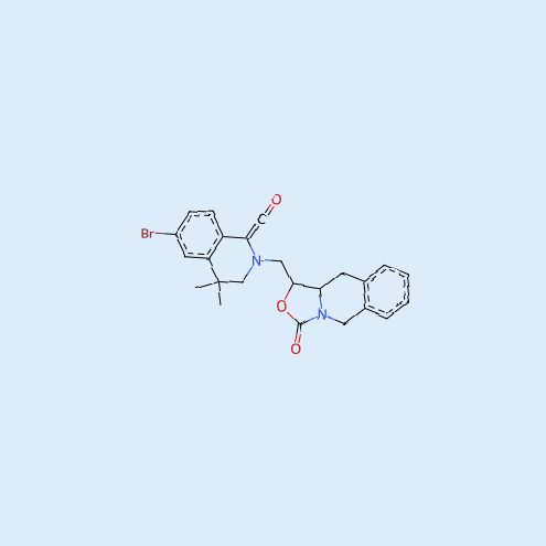 CC1(C)CN(CC2OC(=O)N3Cc4ccccc4CC23)C(=C=O)c2ccc(Br)cc21